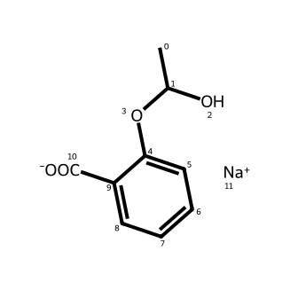 CC(O)Oc1ccccc1C(=O)[O-].[Na+]